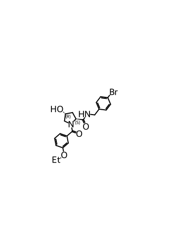 CCOc1cccc(C(=O)N2C[C@H](O)C[C@H]2C(=O)NCc2ccc(Br)cc2)c1